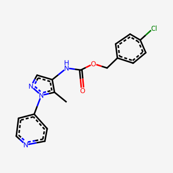 Cc1c(NC(=O)OCc2ccc(Cl)cc2)cnn1-c1ccncc1